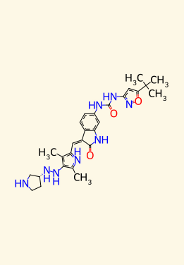 Cc1[nH]c(/C=C2\C(=O)Nc3cc(NC(=O)Nc4cc(C(C)(C)C)on4)ccc32)c(C)c1NN[C@@H]1CCNC1